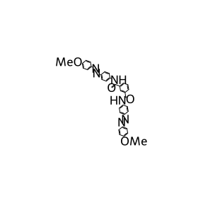 COc1ccc(/N=N/c2ccc(NC(=O)c3cccc(C(=O)Nc4ccc(/N=N/c5ccc(OC)cc5)cc4)c3)cc2)cc1